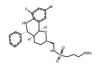 CNCCCS(=O)(=O)NC[C@H]1CC[C@@H]2[C@H](O1)c1cc(Br)cc(F)c1N[C@H]2c1ccccc1